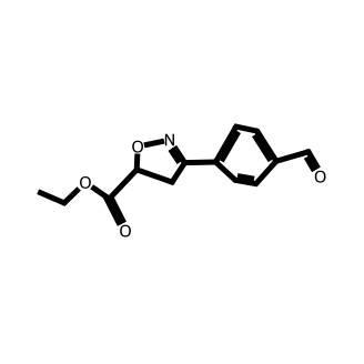 CCOC(=O)C1CC(c2ccc(C=O)cc2)=NO1